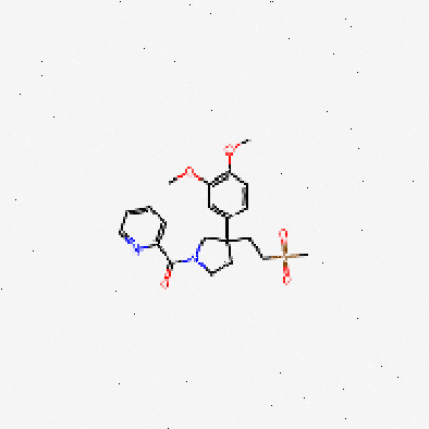 COc1ccc(C2(CCS(C)(=O)=O)CCN(C(=O)c3ccccn3)C2)cc1OC